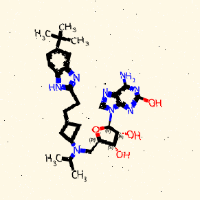 CC(C)N(C[C@H]1O[C@@H](n2cnc3c(N)nc(O)nc32)[C@H](O)[C@@H]1O)C1CC(CCc2nc3cc(C(C)(C)C)ccc3[nH]2)C1